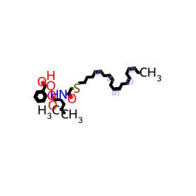 CC/C=C\C/C=C\C/C=C\C/C=C\C/C=C\CCCCSCC(=O)NC(CC(C)C)C(=O)Oc1ccccc1C(=O)O